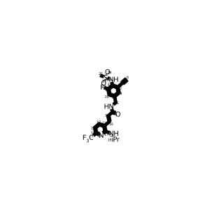 C#Cc1cc(CNC(=O)/C=C/c2ccc(C(F)(F)F)nc2NC(C)C)cc(F)c1NS(C)(=O)=O